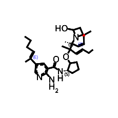 CCC=CC(C)(OC1CCC[C@@H]1NC(=O)c1cc(/C(C)=C/CCC)cnc1N)[C@](C)(/C=C\CC)N1CCC1O